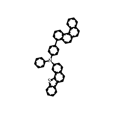 c1ccc(N(c2ccc(-c3cccc4c3ccc3ccc5ccccc5c34)cc2)c2ccc3ccc4c5ccccc5sc4c3c2)cc1